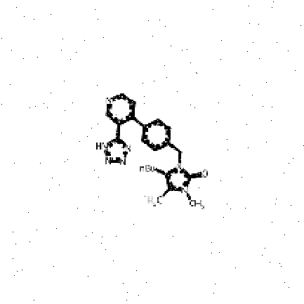 CCCCc1c(C)n(C)c(=O)n1Cc1ccc(-c2ccncc2-c2nnn[nH]2)cc1